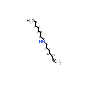 CCCCCCCCNCCCCCCC